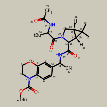 CC(C)(C)OC(=O)N1CCOc2cc(C(C#N)NC(=O)[C@@H]3[C@@H]4[C@H](CN3C(=O)C(NC(=O)C(F)(F)F)C(C)(C)C)C4(C)C)ccc21